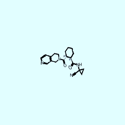 N#CC1(NC(=O)[C@@H]2CCCC[C@H]2C(=O)N2CCc3ccncc3C2)CC1